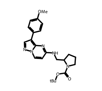 COc1ccc(-c2cnn3ccc(NCC4CCCN4C(=O)OC(C)(C)C)nc23)cc1